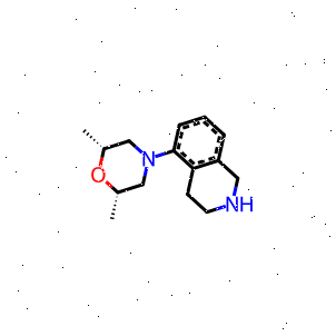 C[C@@H]1CN(c2cccc3c2CCNC3)C[C@H](C)O1